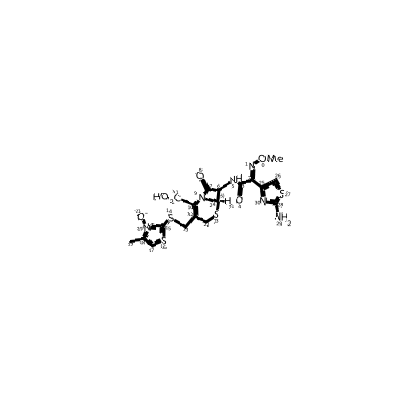 CON=C(C(=O)NC1C(=O)N2C(C(=O)O)=C(CSc3scc(C)[n+]3[O-])CS[C@@H]12)c1csc(N)n1